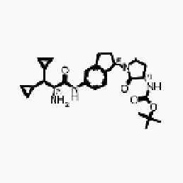 CC(C)(C)OC(=O)N[C@H]1CCN([C@@H]2CCc3cc(NC(=O)[C@@H](N)C(C4CC4)C4CC4)ccc32)C1=O